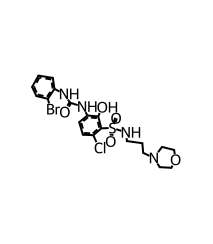 O=C(Nc1ccccc1Br)Nc1ccc(Cl)c(S(=O)(=O)NCCCN2CCOCC2)c1O